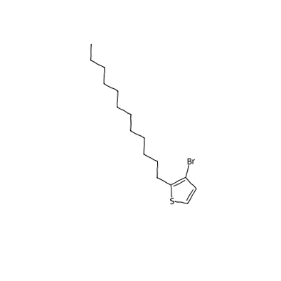 CCCCCCCCCCCCc1sccc1Br